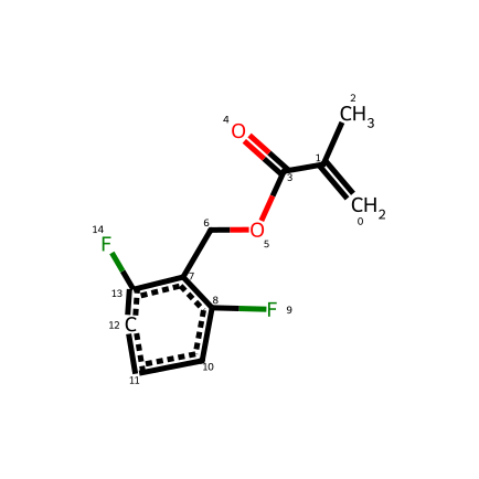 C=C(C)C(=O)OCc1c(F)cccc1F